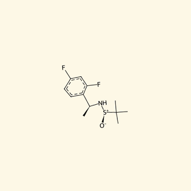 C[C@H](N[S@+]([O-])C(C)(C)C)c1ccc(F)cc1F